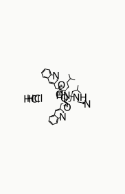 CC(C)CC[C@@H](N[C@@](CC(C)C)(CS(=O)(=O)Cc1cnc2ccccc2c1)NCC#N)S(=O)(=O)Cc1cnc2ccccc2c1.Cl.Cl